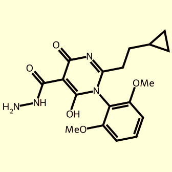 COc1cccc(OC)c1-n1c(CCC2CC2)nc(=O)c(C(=O)NN)c1O